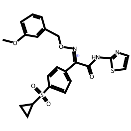 COc1cccc(CO/N=C(/C(=O)Nc2nccs2)c2ccc(S(=O)(=O)C3CC3)cc2)c1